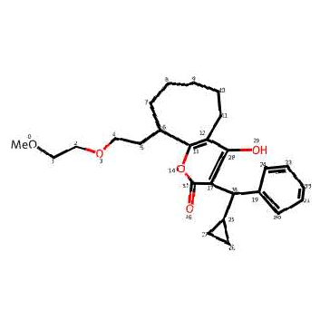 COCCOCCC1CCCCCc2c1oc(=O)c(C(c1ccccc1)C1CC1)c2O